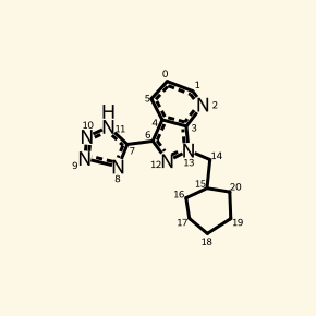 c1cnc2c(c1)c(-c1nnn[nH]1)nn2CC1CCCCC1